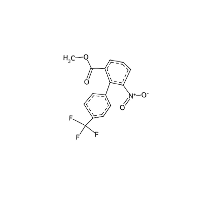 COC(=O)c1cccc([N+](=O)[O-])c1-c1ccc(C(F)(F)F)cc1